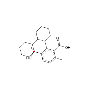 Cc1ccc(C(=O)O)c(C2CCCCC2C2CCCCC2)c1C(=O)O